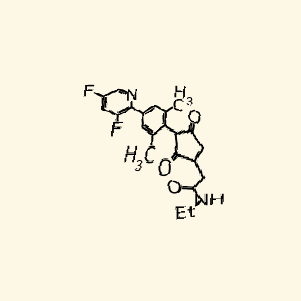 CCNC(=O)CC1CC(=O)C(c2c(C)cc(-c3ncc(F)cc3F)cc2C)C1=O